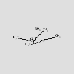 CCCCCCCCCCCCC(CC)C(Cl)(CCCCCCCC)CCCCCCCC.N